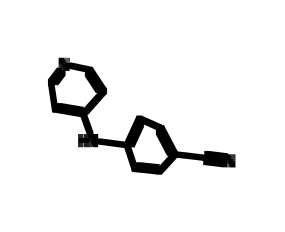 N#Cc1ccc(Nc2ccncc2)cc1